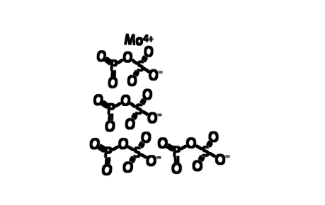 O=P(=O)OS(=O)(=O)[O-].O=P(=O)OS(=O)(=O)[O-].O=P(=O)OS(=O)(=O)[O-].O=P(=O)OS(=O)(=O)[O-].[Mo+4]